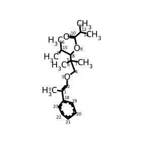 C/C(=C\OCC(C)(C)C(OC(=O)C(C)C)C(C)C)c1ccccc1